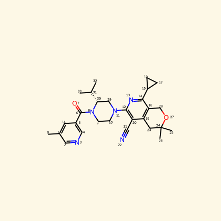 Cc1cncc(C(=O)N2CCN(c3nc(C4CC4)c4c(c3C#N)CC(C)(C)OC4)C[C@H]2C(C)C)c1